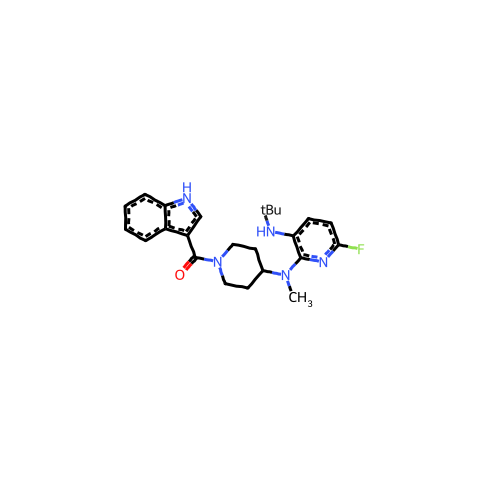 CN(c1nc(F)ccc1NC(C)(C)C)C1CCN(C(=O)c2c[nH]c3ccccc23)CC1